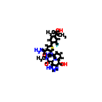 CN(C)C(=O)Cc1[nH]nnc1C(O)c1cccc(Nc2sc(-c3ccc(C(C)(C)O)cc3F)cc2C(N)=O)n1